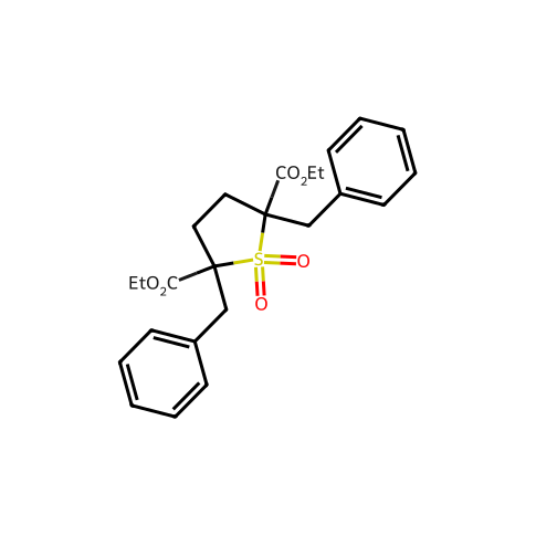 CCOC(=O)C1(Cc2ccccc2)CCC(Cc2ccccc2)(C(=O)OCC)S1(=O)=O